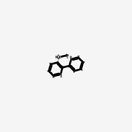 CBr.c1ccc(-c2ccccn2)nc1